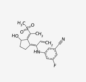 C=C/C(Nc1cc(F)cc(C#N)c1)=C1/CCC(O)/C1=C(/C)S(C)(=O)=O